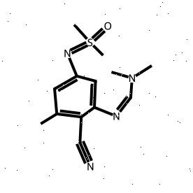 Cc1cc(N=S(C)(C)=O)cc(/N=C\N(C)C)c1C#N